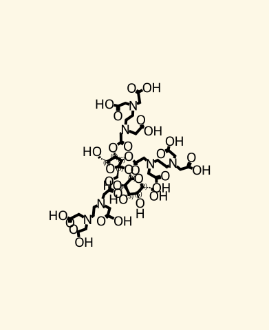 O=C(O)CN(CCN(CC(=O)O)CC(=O)OC[C@@]1(O[C@H]2O[C@H](CO)[C@@H](O)[C@H](O)[C@H]2O)O[C@H](CO)[C@@H](OC(=O)CN(CCN(CC(=O)O)CC(=O)O)CC(=O)O)[C@@H]1OC(=O)CN(CCN(CC(=O)O)CC(=O)O)CC(=O)O)CC(=O)O